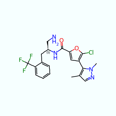 Cc1cnn(C)c1-c1cc(C(=O)N[C@H](CN)Cc2ccccc2C(F)(F)F)oc1Cl